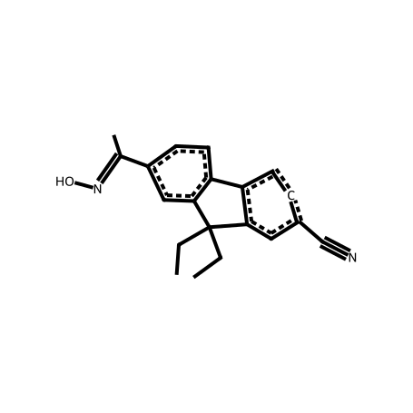 CCC1(CC)c2cc(C#N)ccc2-c2ccc(C(C)=NO)cc21